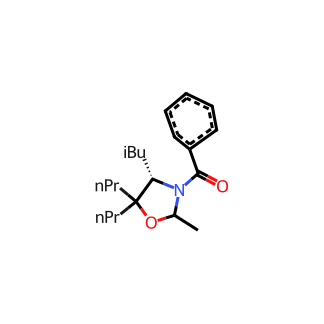 CCCC1(CCC)OC(C)N(C(=O)c2ccccc2)[C@H]1C(C)CC